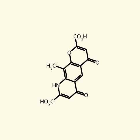 Cc1c2[nH]c(C(=O)O)cc(=O)c2cc2c(=O)cc(C(=O)O)oc12